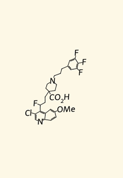 COc1ccc2ncc(Cl)c(C(F)CCC3(C(=O)O)CCN(CCCc4cc(F)c(F)c(F)c4)CC3)c2c1